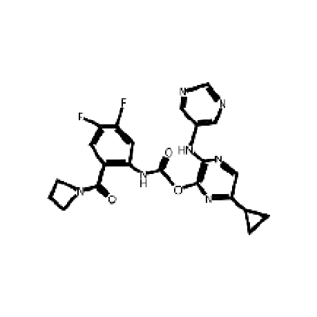 O=C(Nc1cc(F)c(F)cc1C(=O)N1CCC1)Oc1nc(C2CC2)cnc1Nc1cncnc1